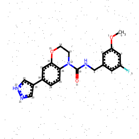 COc1cc(F)cc(CNC(=O)N2CCOc3cc(-c4cn[nH]c4)ccc32)c1